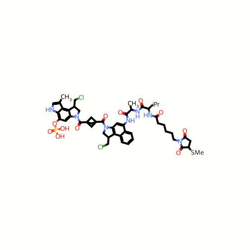 CSC1CC(=O)N(CCCCCC(=O)NC(C(=O)NC(C)C(=O)Nc2cc3c(c4ccccc24)C(CCl)CN3C(=O)C23CC(C(=O)N4CC(CCl)c5c4cc(OP(=O)(O)O)c4[nH]cc(C)c54)(C2)C3)C(C)C)C1=O